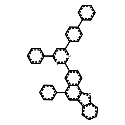 c1ccc(-c2ccc(-c3cc(-c4ccccc4)nc(-c4ccc5c(c4)c(-c4ccccc4)cc4c6ccccc6oc54)n3)cc2)cc1